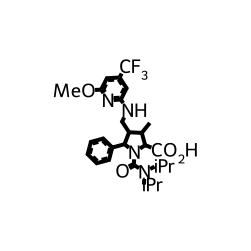 COc1cc(C(F)(F)F)cc(NCC2C(C)C(C(=O)O)N(C(=O)N(C(C)C)C(C)C)C2c2ccccc2)n1